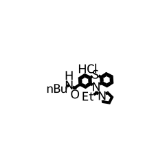 CCCCNC(=O)c1ccc2c(c1)N(C(CC)N1CCCC1)c1ccccc1S2.Cl